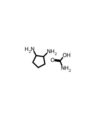 NC(=O)O.NC1CCCC1N